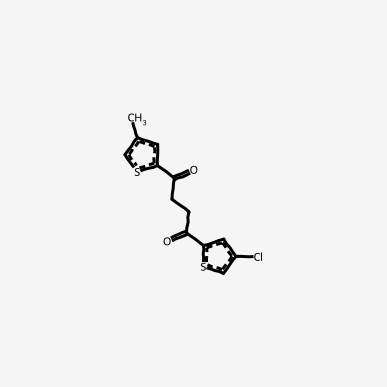 Cc1csc(C(=O)CCC(=O)c2cc(Cl)cs2)c1